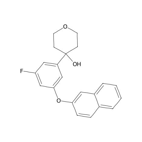 OC1(c2cc(F)cc(Oc3ccc4ccccc4c3)c2)CCOCC1